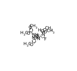 COc1ccc(CNc2nc3cc(OC)ccc3c3nc(C4CC(F)CN(C(=O)OC(C)(C)C)C4)nn23)c(OC)c1